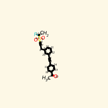 C=C(F)S(=O)(=O)C#CCc1cccc(C#Cc2ccc(C(C)=O)cc2)c1